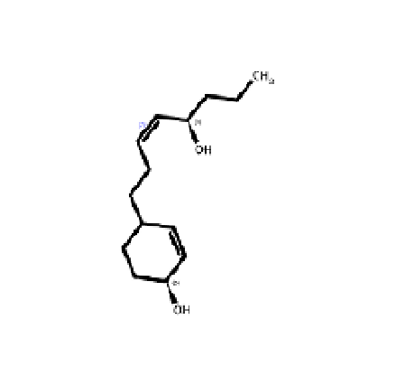 CCC[C@@H](O)/C=C\CCC1C=C[C@@H](O)CC1